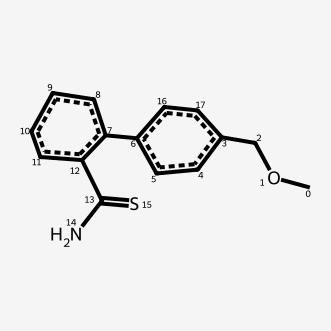 COCc1ccc(-c2ccccc2C(N)=S)cc1